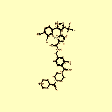 Nc1ccc(-c2[nH]nc(C(F)(F)F)c2-c2cnc(C(=O)NCc3ccc(C(=O)N4CCN(C(=O)C5CCNCC5)CC4)c(Cl)c3)[nH]2)nc1F